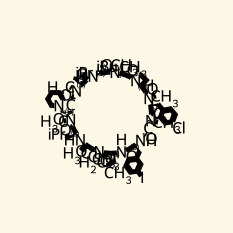 C=C(C)C[C@@H]1NC(=O)[C@H](Cc2cccc(I)c2)NC(=O)CN(C)C(=O)[C@H](Cc2ccc(Cl)cc2)N(C)C(=O)[C@@H]2CCN2C(=O)[C@H](C)N(C)C(=O)[C@H]([C@@H](C)CC)NC(=O)[C@H](CC(C)C)N(C)C(=O)C[C@@H](C(=O)N2CCCCC2)N(C)C(=O)[C@H](CC(C)C)NC(=O)C(C)(C)N(C)C1=O